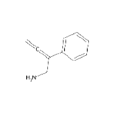 C=C=C(CN)c1ccccc1